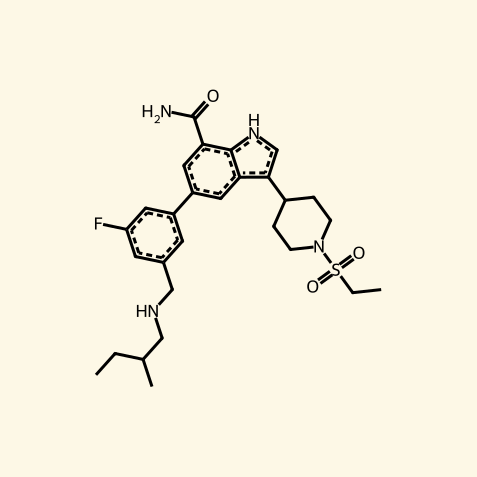 CCC(C)CNCc1cc(F)cc(-c2cc(C(N)=O)c3[nH]cc(C4CCN(S(=O)(=O)CC)CC4)c3c2)c1